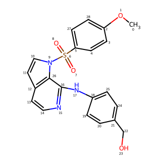 COc1ccc(S(=O)(=O)n2ccc3ccnc(Nc4ccc(CO)cc4)c32)cc1